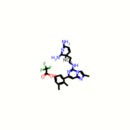 Cc1cn2c(NCCC3([N+](=O)[O-])C=CC(N)=NC3N)nc(-c3cccc(C)c3C)cc2n1.O=C(O)C(F)(F)F